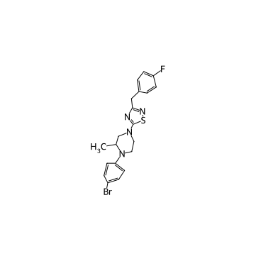 CC1CN(c2nc(Cc3ccc(F)cc3)ns2)CCN1c1ccc(Br)cc1